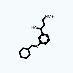 CNCCC(O)c1cccc(SCC2CCCCC2)c1